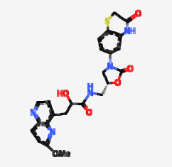 COc1ccc2nccc(CC(O)C(=O)NC[C@@H]3CN(c4ccc5c(c4)NC(=O)CS5)C(=O)O3)c2n1